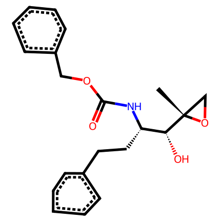 C[C@@]1([C@H](O)[C@H](CCc2ccccc2)NC(=O)OCc2ccccc2)CO1